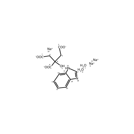 O.O.O=C([O-])CC(O)(CC(=O)[O-])C(=O)[O-].[Na+].[Na+].[Na+].c1ccc2[nH]cnc2c1